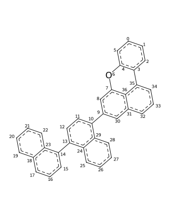 c1ccc2c(c1)Oc1cc(-c3ccc(-c4cccc5ccccc45)c4ccccc34)cc3cccc-2c13